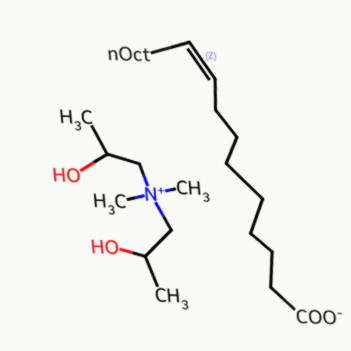 CC(O)C[N+](C)(C)CC(C)O.CCCCCCCC/C=C\CCCCCCCC(=O)[O-]